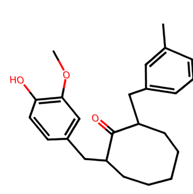 COc1cc(CC2CCCCCC(Cc3cccc(C)c3)C2=O)ccc1O